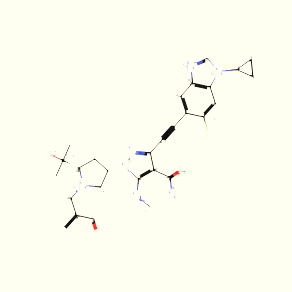 C=C(C=O)CN1C[C@@H](n2nc(C#Cc3cc4ncn(C5CC5)c4cc3F)c(C(N)=O)c2NC)C[C@@H]1C(C)(C)O